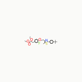 CCOC(=O)C(Cc1ccc(OCCc2nc(-c3ccc(C(C)(C)C)cc3)sc2C)c(F)c1)OCC